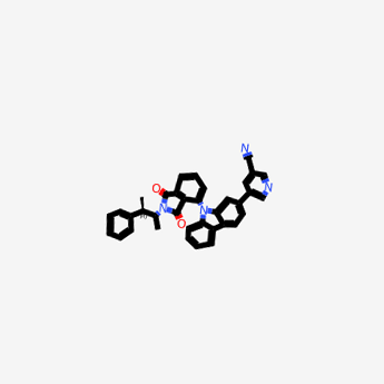 CC([C@H](C)c1ccccc1)N1C(=O)c2cccc(-n3c4ccccc4c4ccc(-c5cncc(C#N)c5)cc43)c2C1=O